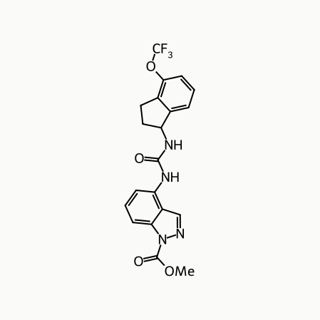 COC(=O)n1ncc2c(NC(=O)NC3CCc4c(OC(F)(F)F)cccc43)cccc21